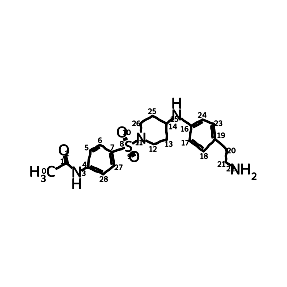 CC(=O)Nc1ccc(S(=O)(=O)N2CCC(Nc3ccc(CCN)cc3)CC2)cc1